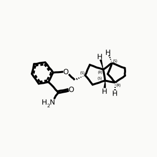 NC(=O)c1ccccc1OC[C@@H]1C[C@@H]2[C@H]3CC[C@H](C3)[C@@H]2C1